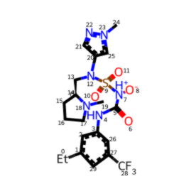 CCc1cc(NC(=O)[NH+]([O-])S(=O)(=O)N(C[C@@H]2CCCN2C)c2cnn(C)c2)cc(C(F)(F)F)c1